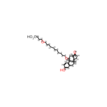 C[C@]12C[C@H](OCCCCCCCCCCCOCCCC(=O)O)[C@@H]3c4ccc(O)cc4CC[C@H]3[C@@H]1CCC2=O